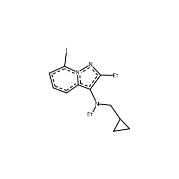 CCc1nn2c(I)cccc2c1N(CC)CC1CC1